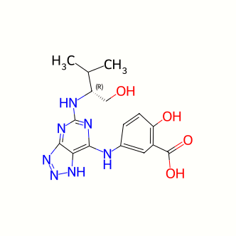 CC(C)[C@H](CO)Nc1nc(Nc2ccc(O)c(C(=O)O)c2)c2[nH]nnc2n1